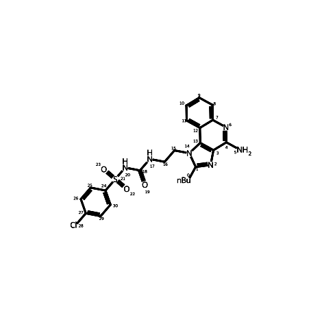 CCCCc1nc2c(N)nc3ccccc3c2n1CCNC(=O)NS(=O)(=O)c1ccc(Cl)cc1